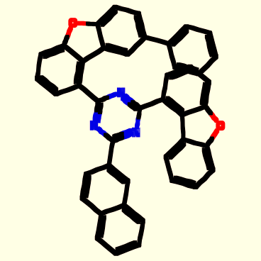 c1ccc(-c2ccc3oc4cccc(-c5nc(-c6ccc7ccccc7c6)nc(-c6cccc7oc8ccccc8c67)n5)c4c3c2)cc1